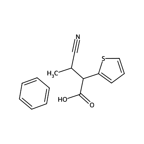 CC(C#N)C(C(=O)O)c1cccs1.c1ccccc1